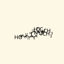 CC(C)(C)OC(=O)N1CCC(CC=CCO)CC1